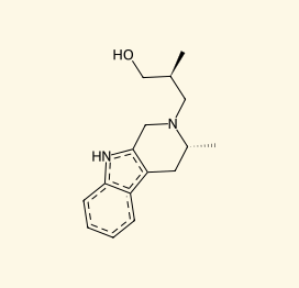 C[C@H](CO)CN1Cc2[nH]c3ccccc3c2C[C@H]1C